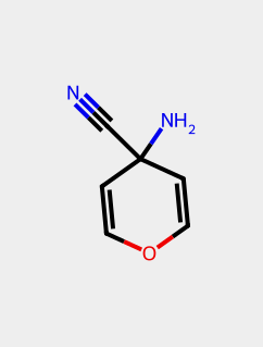 N#CC1(N)C=COC=C1